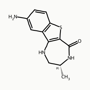 C[C@@H]1CNc2c(sc3ccc(N)cc23)C(=O)N1